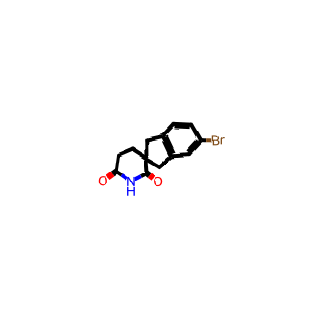 O=C1CCC2(Cc3ccc(Br)cc3C2)C(=O)N1